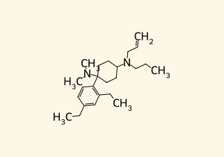 C=CCN(CCC)C1CCC(c2ccc(CC)cc2CC)(N(C)C)CC1